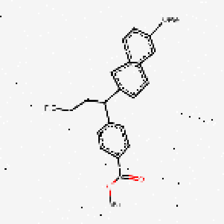 CCCCOC(=O)c1ccc([C@@H](CCC(F)(F)F)c2ccc3cc(OC)ccc3c2)cc1